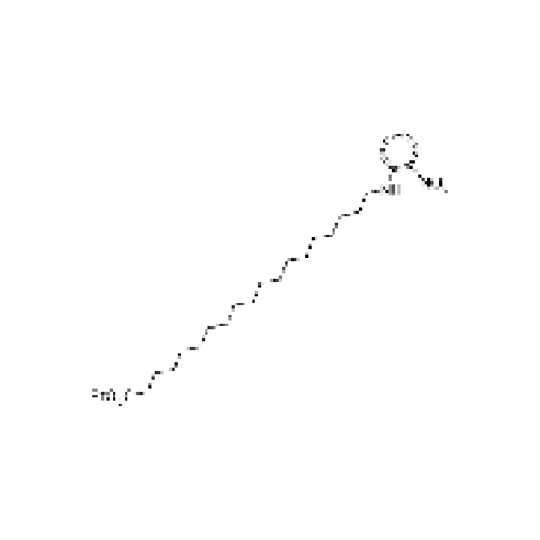 CCOC(=O)CCCCCCCCCCCCCCCCCCNc1ccccc1[N+](=O)[O-]